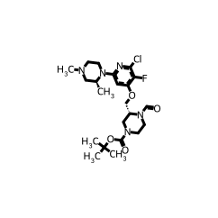 C[C@H]1CN(C)CCN1c1cc(OC[C@H]2CN(C(=O)OC(C)(C)C)CCN2C=O)c(F)c(Cl)n1